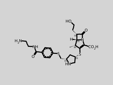 C[C@H]1C(S[C@@H]2CN[C@H](CSc3ccc(C(=O)NCCN)cc3)C2)=C(C(=O)O)N2C(=O)[C@@H](CCO)[C@@H]12